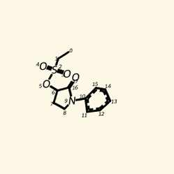 CCS(=O)(=O)OC1CCN(c2ccccc2)C1=O